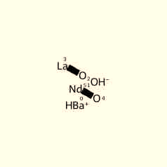 [BaH+].[OH-].[O]=[La].[O]=[Nd]